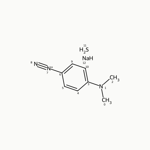 CN(C)c1ccc([N+]#N)cc1.S.[NaH]